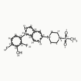 CS(=O)(=O)N1CCN(c2cc3cnn(-c4ccc(F)c(O)c4F)c3cn2)CC1